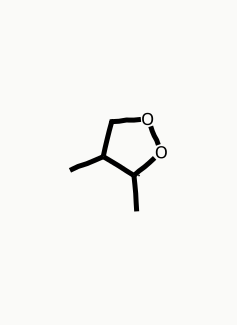 C[C]1OOCC1C